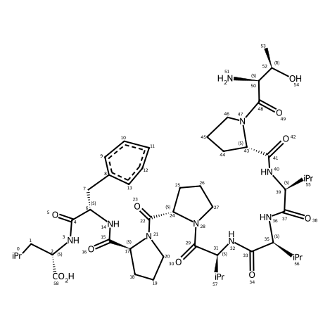 CC(C)C[C@H](NC(=O)[C@H](Cc1ccccc1)NC(=O)[C@@H]1CCCN1C(=O)[C@@H]1CCCN1C(=O)[C@@H](NC(=O)[C@@H](NC(=O)[C@@H](NC(=O)[C@@H]1CCCN1C(=O)[C@@H](N)[C@@H](C)O)C(C)C)C(C)C)C(C)C)C(=O)O